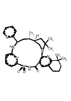 C[C@H]1CC(c2ccccn2)Nc2cccc(n2)S(=O)(=O)NC(=O)c2cc3c(nc2N2C[C@@H]1CC2(C)C)C(C)(C)CCC3